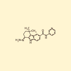 CC1(C)CC/C(=N\N)c2[nH]c3ccc(C(=O)Nc4cccnc4)cc3c21